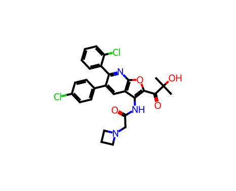 CC(C)(O)C(=O)c1oc2nc(-c3ccccc3Cl)c(-c3ccc(Cl)cc3)cc2c1NC(=O)CN1CCC1